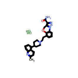 Cc1ccc2c(C3CCN(CCc4cccc5c4OCc4c(C(N)=O)nnn4-5)CC3)cccc2n1.Cl.Cl